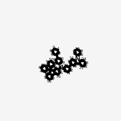 c1ccc(-c2ccc(N(c3cccc(-c4ccc5c(c4)c4ccccc4n5-c4ccccc4)c3)c3ccc4c(c3)C(c3ccccc3)(c3ccccc3)c3ccccc3-4)cc2)cc1